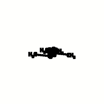 CCCCCCCCCCCCP1OCC2(CO1)COP(CCCCCCCCCCCC)OC2.COP1OCC2(CO1)COP(OC)OC2